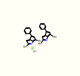 CC(C)(C)C1=NC2=C(C(C)(C)C)C=C(c3ccccc3)C2=C1.CC(C)(C)C1=NC2=C(C(C)(C)C)C=C(c3ccccc3)C2=C1.[Cl-].[Cl-].[Zr+2]